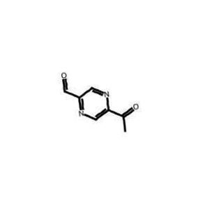 CC(=O)c1cnc(C=O)cn1